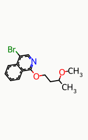 COC(C)CCOc1ncc(Br)c2ccccc12